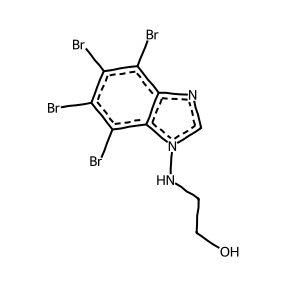 OCCNn1cnc2c(Br)c(Br)c(Br)c(Br)c21